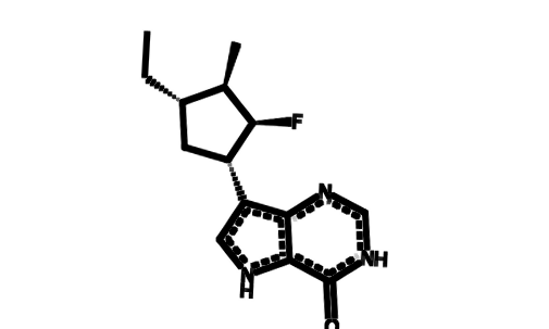 CC[C@H]1C[C@@H](c2c[nH]c3c(=O)[nH]cnc23)[C@H](F)[C@@H]1C